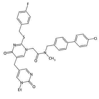 CCn1cc(Cc2cn(CC(=O)N(C)Cc3ccc(-c4ccc(Cl)cc4)cc3)c(SCc3ccc(F)cc3)nc2=O)cnc1=O